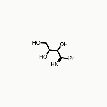 CC(C)C(=N)C(O)C(O)CO